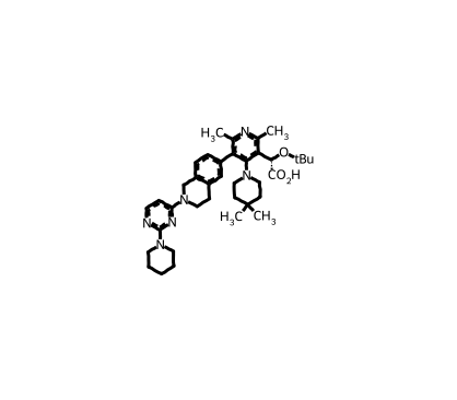 Cc1nc(C)c([C@H](OC(C)(C)C)C(=O)O)c(N2CCC(C)(C)CC2)c1-c1ccc2c(c1)CCN(c1ccnc(N3CCCCC3)n1)C2